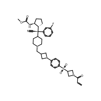 C=CC(=O)N1CC(S(=O)(=O)c2ccc(N3CC(CN4CCC([C@@](C#N)(c5cccc(F)c5)[C@H]5CCC[C@@H]5NC(=O)OC)CC4)C3)cc2)C1